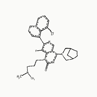 CN(C)CCCn1c(=O)nc(N2CC3CCC(C3)C2)c2cnc(-c3cccc4cccc(Cl)c34)c(F)c21